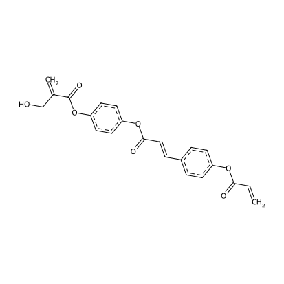 C=CC(=O)Oc1ccc(/C=C/C(=O)Oc2ccc(OC(=O)C(=C)CO)cc2)cc1